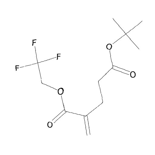 C=C(CCC(=O)OC(C)(C)C)C(=O)OCC(F)(F)F